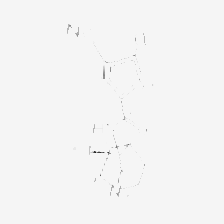 N#Cc1cc(C(=O)N[C@H]2CN3CCC2CC3)sc1Cl